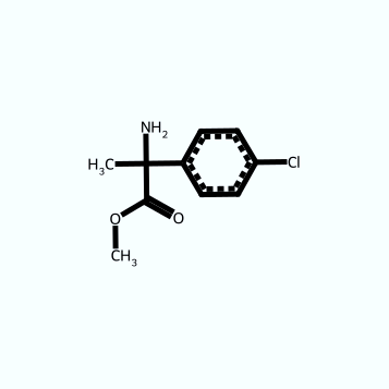 COC(=O)C(C)(N)c1ccc(Cl)cc1